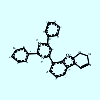 C1=Cc2c(oc3c(-c4cc(-c5ccccc5)nc(-c5ccccc5)n4)cccc23)CC1